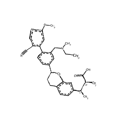 CCN(C)Cc1cc(C2CCc3ccc([C@H](C)[C@H](C)C(=O)O)cc3O2)ccc1-c1cc(OC)ncc1C#N